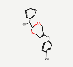 CCC(c1ccccc1)C1OCC(Cc2ccc(C#N)cc2)CO1